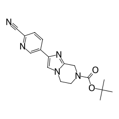 CC(C)(C)OC(=O)N1CCn2cc(-c3ccc(C#N)nc3)nc2C1